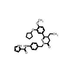 CCC1CC(=O)N(Cc2ccc(NC(=O)c3ccc[nH]3)cc2)N=C1c1ccc(OC)c(OC2CCCC2)c1